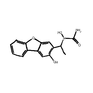 CC(c1cc2oc3ccccc3c2cc1O)N(O)C(N)=O